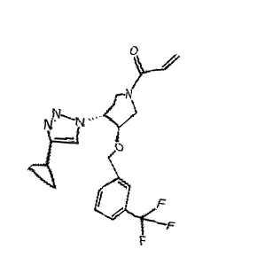 C=CC(=O)N1C[C@@H](n2cc(C3CC3)nn2)[C@H](OCc2cccc(C(F)(F)F)c2)C1